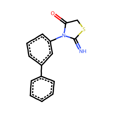 N=C1SCC(=O)N1c1cccc(-c2ccccc2)c1